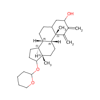 C=C1C(=C)[C@@]2(C)C(CC[C@@H]3[C@H]2CC[C@]2(C)C(OC4CCCCO4)CC[C@@H]32)CC1O